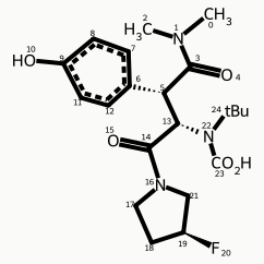 CN(C)C(=O)[C@@H](c1ccc(O)cc1)[C@@H](C(=O)N1CC[C@H](F)C1)N(C(=O)O)C(C)(C)C